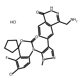 Cl.Cn1ncc(-c2ccc3c(=O)[nH]nc(CN)c3c2)c1N1C(=O)OC2(CCCC2)c2c1ccc(Cl)c2F